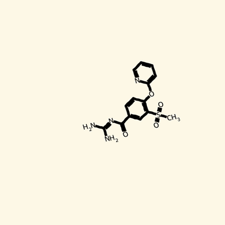 CS(=O)(=O)c1cc(C(=O)N=C(N)N)ccc1Oc1ccccn1